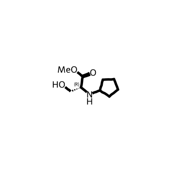 COC(=O)[C@@H](CO)NC1CCCC1